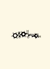 O=C(NCc1cn[nH]c1)Nc1ccc(S(=O)(=O)C2CCCCC2)cc1